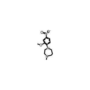 COc1cc([N+](=O)[O-])ccc1N1CCCN(C)CC1